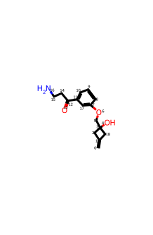 C=C1CC(O)(COc2cccc(C(=O)CCN)c2)C1